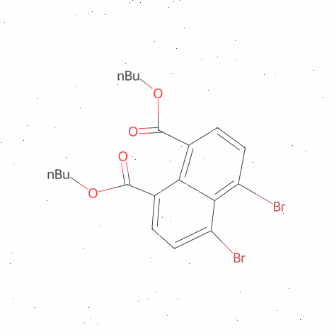 CCCCOC(=O)c1ccc(Br)c2c(Br)ccc(C(=O)OCCCC)c12